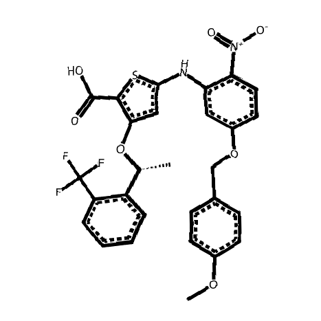 COc1ccc(COc2ccc([N+](=O)[O-])c(Nc3cc(O[C@H](C)c4ccccc4C(F)(F)F)c(C(=O)O)s3)c2)cc1